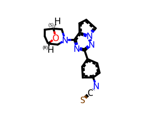 S=C=Nc1ccc(-c2nc(N3C[C@H]4CC[C@@H](C3)O4)c3cccn3n2)cc1